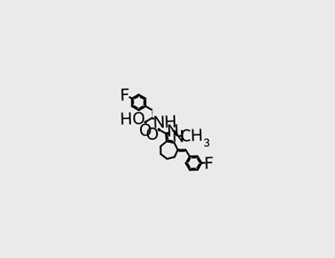 Cn1nc(C(=O)N[C@@H](Cc2ccc(F)cc2)C(=O)O)c2c1/C(=C/c1cccc(F)c1)CCCC2